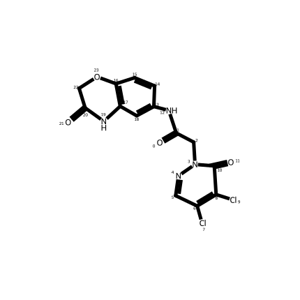 O=C(Cn1ncc(Cl)c(Cl)c1=O)Nc1ccc2c(c1)NC(=O)CO2